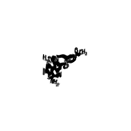 C=CC(=O)N1CCN2C(=O)c3cc(F)c(-c4ccc(F)c5sc(N)c(C#N)c45)c4c(C)cn(c34)CCC2C1